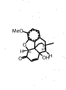 COc1ccc2c3c1O[C@H]1C(=O)C=CC4(O)[C@@H](C2)N(C)CCC314